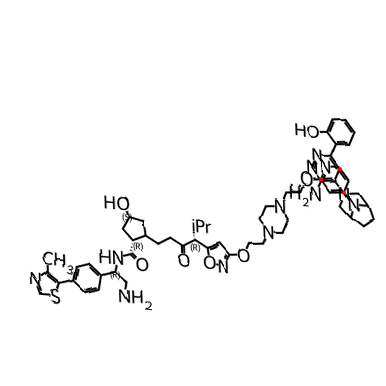 Cc1ncsc1-c1ccc([C@H](CN)NC(=O)[C@@H]2C[C@@H](O)CC2CCC(=O)[C@@H](c2cc(OCCN3CCN(CCOc4cc(N5C6CCC5CN(c5cc(-c7ccccc7O)nnc5N)C6)ccn4)CC3)no2)C(C)C)cc1